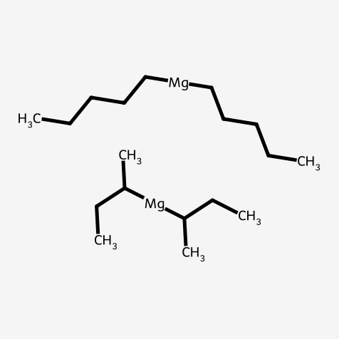 CCCC[CH2][Mg][CH2]CCCC.CC[CH](C)[Mg][CH](C)CC